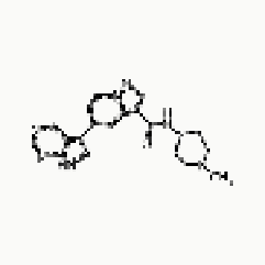 CN1CCC(NC(=O)c2cnn3ccc(-c4c[nH]c5ncncc45)cc23)CC1